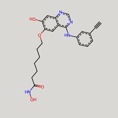 C#Cc1cccc(Nc2ncnc3cc(O)c(OCCCCCCC(=O)NO)cc23)c1